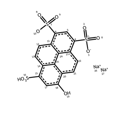 O=S(=O)([O-])c1cc(S(=O)(=O)[O-])c2ccc3c(S(=O)(=O)O)cc(O)c4ccc1c2c43.[Na+].[Na+]